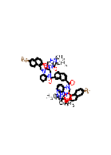 CN[C@@H](C)C(=O)NC(C=O)CN(C(=O)c1ccc2ccc(C(=O)N3CC(NC(=O)[C@H](C)NC)C(=O)N(Cc4c(OC)ccc5cc(Br)ccc45)c4ccccc43)cc2c1)c1ccccc1N(C)Cc1c(OC)ccc2cc(Br)ccc12